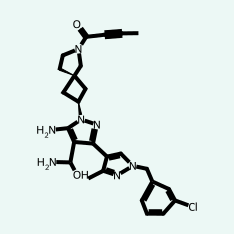 CC#CC(=O)N1CC[C@]2(C1)C[C@H](n1nc(-c3cn(Cc4cccc(Cl)c4)nc3C)c(C(N)O)c1N)C2